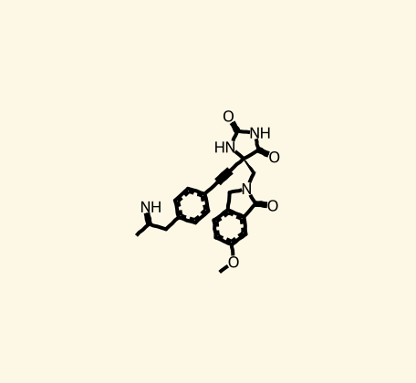 COc1ccc2c(c1)C(=O)N(C[C@@]1(C#Cc3ccc(CC(C)=N)cc3)NC(=O)NC1=O)C2